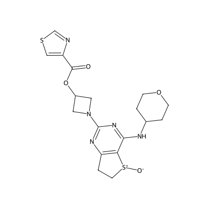 O=C(OC1CN(c2nc3c(c(NC4CCOCC4)n2)[S+]([O-])CC3)C1)c1cscn1